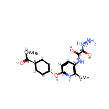 COc1nc(O[C@H]2CC[C@H](C(=O)OC)CC2)ccc1NC(=O)C(=O)NN